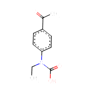 CCN(C(=O)O)c1ccc(C(C)=O)cc1